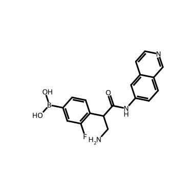 NCC(C(=O)Nc1ccc2cnccc2c1)c1ccc(B(O)O)cc1F